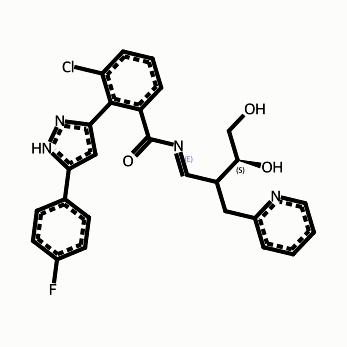 O=C(/N=C/C(Cc1ccccn1)[C@H](O)CO)c1cccc(Cl)c1-c1cc(-c2ccc(F)cc2)[nH]n1